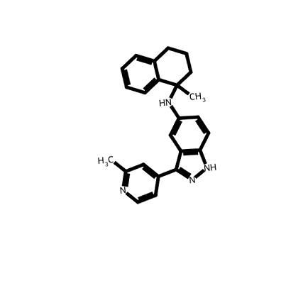 Cc1cc(-c2n[nH]c3ccc(NC4(C)CCCc5ccccc54)cc23)ccn1